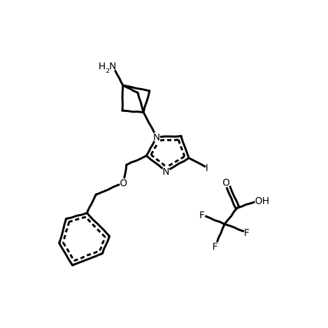 NC12CC(n3cc(I)nc3COCc3ccccc3)(C1)C2.O=C(O)C(F)(F)F